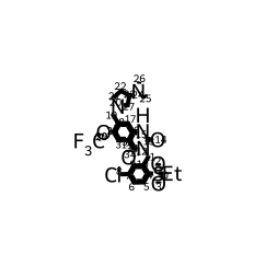 CCS(=O)(=O)c1ccc(Cl)cc1Cn1c(=O)[nH]c2cc(CN3CCC(N(C)C)C3)c(OC(F)(F)F)cc2c1=O